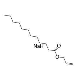 C=CCOC(=O)CCCCCCCCCCC.[NaH]